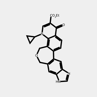 CCOC(=O)c1cn(C2CC2)c2c3c(ccc2c1=O)-c1cc2nc[nH]c2cc1COC3